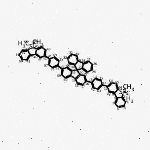 C[Si]1(C)c2ccccc2-c2cc(-c3ccc(-c4ccc5c(c4)C4(c6ccccc6-c6ccccc64)c4cc(-c6ccc(-c7ccc8c(c7)-c7ccccc7[Si]8(C)C)cc6)ccc4-5)cc3)ccc21